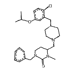 CC(C)Oc1ccc(Cl)c(CC2CCN(CC3CCN(Cc4ccccc4)C(=O)N3C)CC2)c1